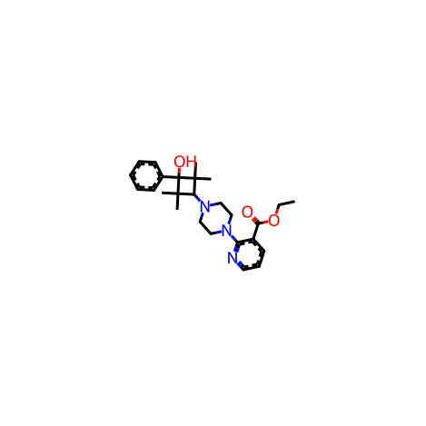 CCOC(=O)c1cccnc1N1CCN(C2C(C)(C)C(O)(c3ccccc3)C2(C)C)CC1